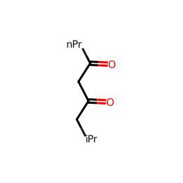 CCCC(=O)CC(=O)CC(C)C